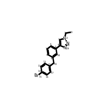 CCn1cc(-c2cccc(Cc3ccc(Br)cc3)c2)nn1